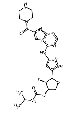 CC(C)NC(=O)O[C@@H]1CO[C@H](c2cc(Nc3nccc4nc(C(=O)N5CCNCC5)cn34)n[nH]2)[C@@H]1F